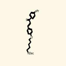 CCCCCCCCCCCCCCCOc1ccc(C=CC(=S)c2ccc(CCC)cc2)cc1